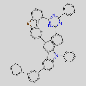 c1ccc(-c2cccc(-c3ccc4c(c3)c3cc(-c5ccc6sc7cccc(-c8nc(-c9ccccc9)nc(-c9ccccc9)n8)c7c6c5)ccc3n4-c3ccccc3)c2)cc1